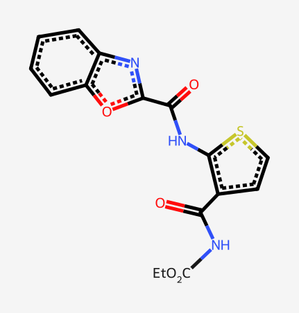 CCOC(=O)NC(=O)c1ccsc1NC(=O)c1nc2ccccc2o1